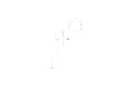 NC(=O)NCCC[C@](N)(C(=O)O)C(=O)c1ccccc1